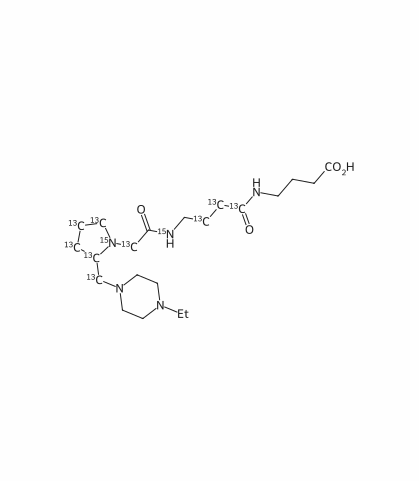 CCN1CCN([13CH2][13CH]2[13CH2][13CH2][13CH2][15N]2[13CH2]C(=O)[15NH]C[13CH2][13CH2][13C](=O)NCCCC(=O)O)CC1